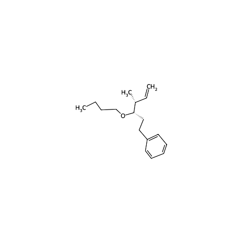 C=C[C@@H](C)[C@H](CCc1ccccc1)OCCCC